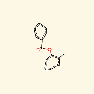 Cc1c[c]ccc1OC(=O)c1ccccc1